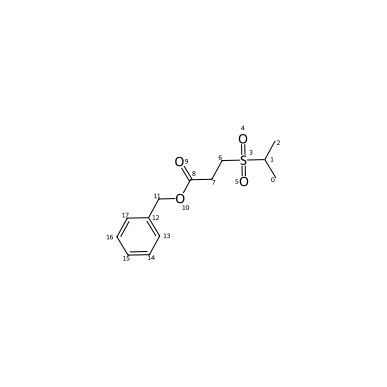 CC(C)S(=O)(=O)CCC(=O)OCc1ccccc1